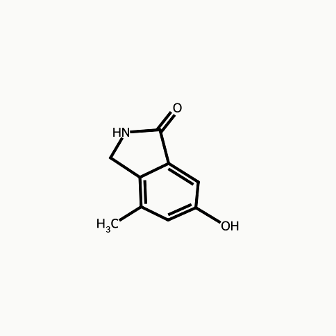 Cc1cc(O)cc2c1CNC2=O